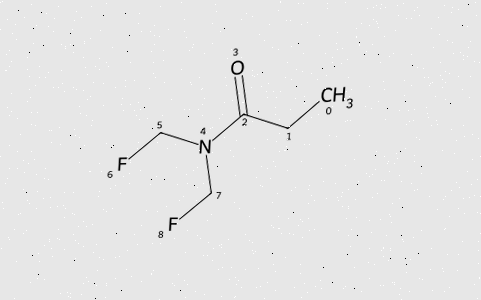 CCC(=O)N(CF)CF